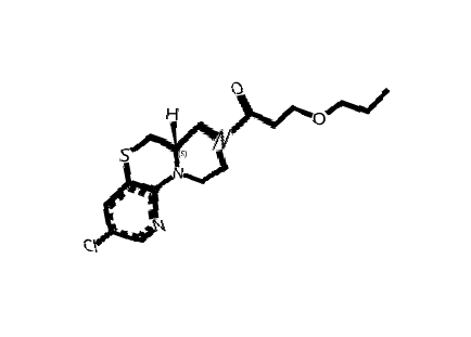 CCCOCCC(=O)N1CCN2c3ncc(Cl)cc3SC[C@@H]2C1